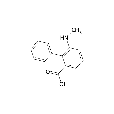 CNc1cccc(C(=O)O)c1-c1ccccc1